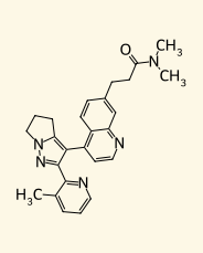 Cc1cccnc1-c1nn2c(c1-c1ccnc3cc(CCC(=O)N(C)C)ccc13)CCC2